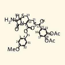 COc1ccc(COC(=O)C2=C(CSC(=O)c3ccc(OC(C)=O)c(OC(C)=O)c3)CS[C@@H]3[C@H](N)C(=O)N23)cc1